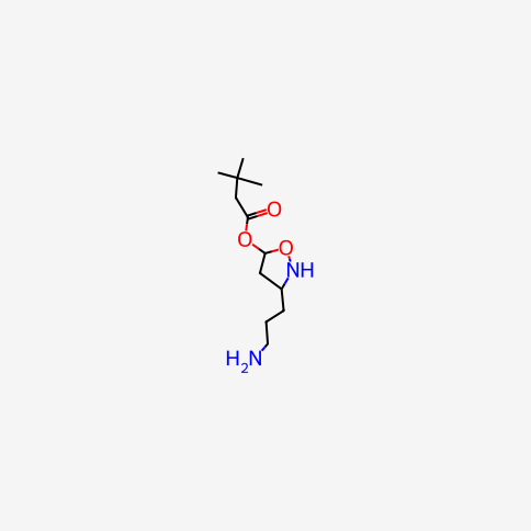 CC(C)(C)CC(=O)OC1CC(CCCN)NO1